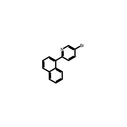 Brc1[c]cc(-c2cccc3ccccc23)nc1